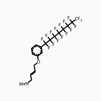 CNCC=CCOc1cccc(C(F)(F)C(F)(F)C(F)(F)C(F)(F)C(F)(F)C(F)(F)C(F)(F)C(F)(F)F)c1